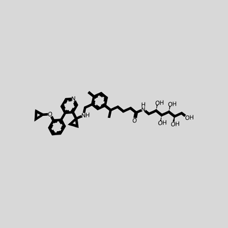 Cc1ccc(C(C)CCCC(=O)NC[C@H](O)[C@@H](O)[C@H](O)[C@H](O)CO)cc1CNC1(c2cnccc2-c2ccccc2OC2CC2)CC1